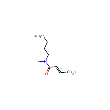 CCCCCCCCCCN(C)C(=O)/C=C/C(=O)O